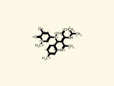 C=C/C(NC(C)C)=C(/C(C)=N)C(c1ccc(C)cc1)N(C)c1cc(Cl)c(=O)n(C)c1